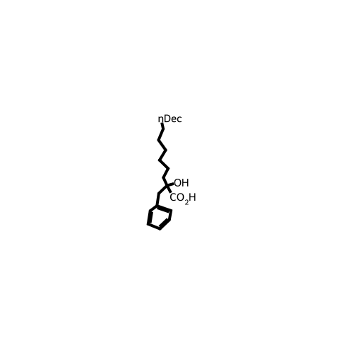 CCCCCCCCCCCCCCCCC(O)(Cc1ccccc1)C(=O)O